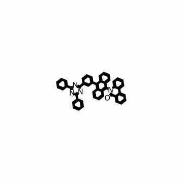 O=c1c2ccccc2c2ccccc2n1-c1c2ccccc2c(-c2cccc(-c3nc(-c4ccccc4)nc(-c4ccccc4)n3)c2)c2ccccc12